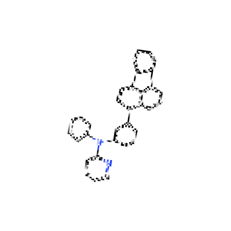 c1ccc(N(c2cccc(-c3ccc4c5c(cccc35)-c3ccccc3-4)c2)c2ccccn2)cc1